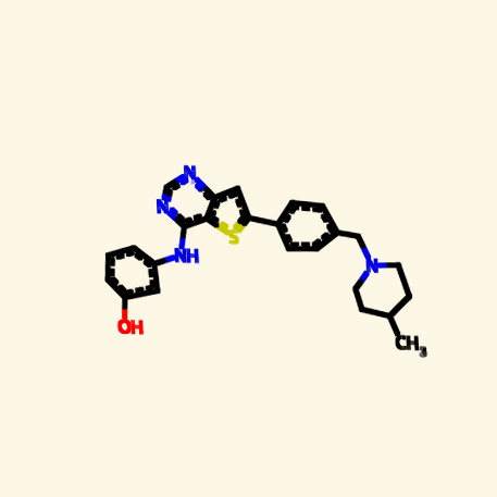 CC1CCN(Cc2ccc(-c3cc4ncnc(Nc5cccc(O)c5)c4s3)cc2)CC1